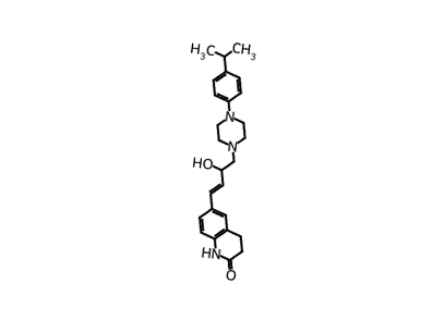 CC(C)c1ccc(N2CCN(CC(O)C=Cc3ccc4c(c3)CCC(=O)N4)CC2)cc1